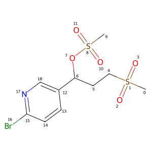 CS(=O)(=O)CCC(OS(C)(=O)=O)c1ccc(Br)nc1